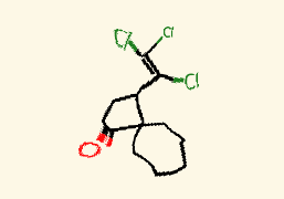 O=C1CC(C(Cl)=C(Cl)Cl)C12CCCCC2